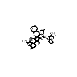 C[C@H]1CN2CCC[C@@]2(COc2nc3c4c(c(Cl)c(-c5ccc(F)c6sc(N)c(C#N)c56)c(F)c4n2)OC2COCCCC2N3CC(F)F)C1